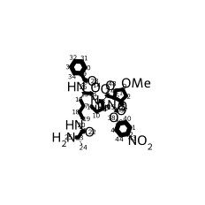 COC1CC(=O)C(C(=O)[C@@H]2CCCN2C(=O)[C@H](CCCCNC(=O)[C@H](C)N)NC(=O)c2ccccc2)(N(C(=O)Oc2ccc([N+](=O)[O-])cc2)C(C)C)C1=O